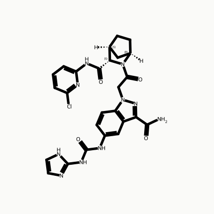 NC(=O)c1nn(CC(=O)N2[C@@H]3CC[C@@H](C3)[C@H]2C(=O)Nc2cccc(Cl)n2)c2ccc(NC(=O)Nc3ncc[nH]3)cc12